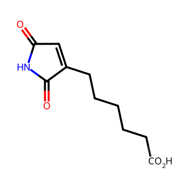 O=C(O)CCCCCC1=CC(=O)NC1=O